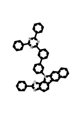 c1ccc(-c2nc(-c3ccccc3)nc(-c3cccc(-c4cccc(-n5c6cc7ccccc7cc6c6ccc7nc(-c8ccccc8)oc7c65)c4)c3)n2)cc1